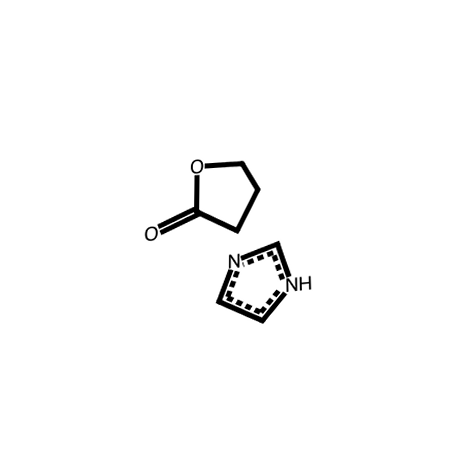 O=C1CCCO1.c1c[nH]cn1